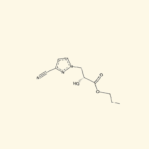 CCCOC(=O)[C@H](O)Cn1ccc(C#N)n1